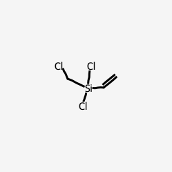 C=C[Si](Cl)(Cl)CCl